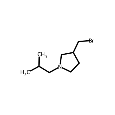 C[C](C)CN1CCC(CBr)C1